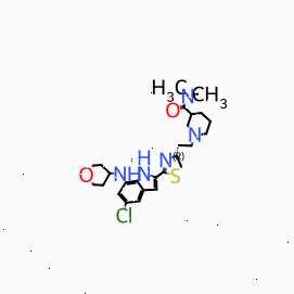 CN(C)C(=O)C1CCCN(CC[C@@H]2CSC(c3cc4cc(Cl)cc(NC5CCOCC5)c4[nH]3)=N2)C1